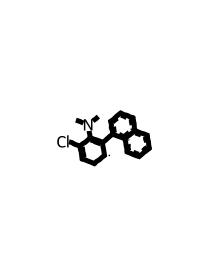 CN(C)C1=C(c2cccc3ccccc23)[CH]CC=C1Cl